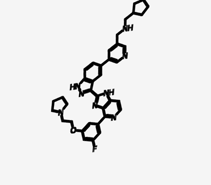 Fc1cc(OCCN2CCCC2)cc(-c2nccc3[nH]c(-c4n[nH]c5ccc(-c6cncc(CNCC7CCCC7)c6)cc45)nc23)c1